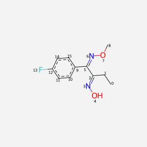 CCC(=NO)C(=NOC)c1ccc(F)cc1